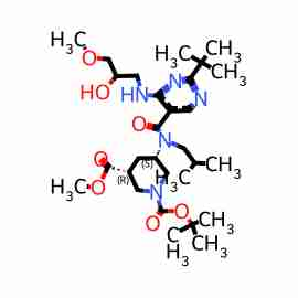 COCC(O)CNc1nc(C(C)(C)C)ncc1C(=O)N(CC(C)C)[C@H]1C[C@@H](C(=O)OC)CN(C(=O)OC(C)(C)C)C1